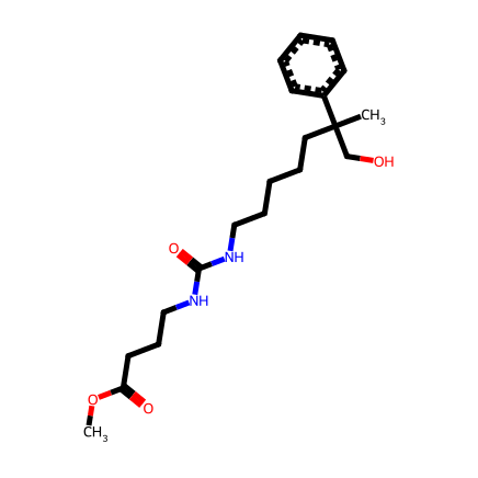 COC(=O)CCCNC(=O)NCCCCCC(C)(CO)c1ccccc1